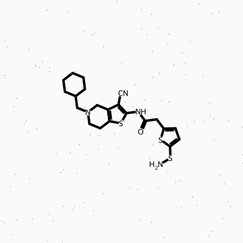 N#Cc1c(NC(=O)Cc2ccc(SN)s2)sc2c1CN(CC1CCCCC1)CC2